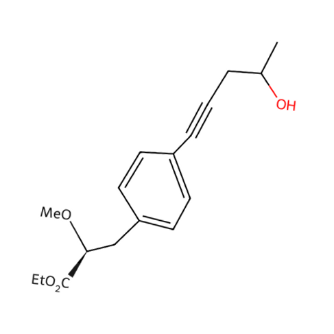 CCOC(=O)[C@H](Cc1ccc(C#CCC(C)O)cc1)OC